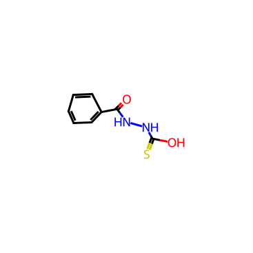 O=C(NNC(O)=S)c1ccccc1